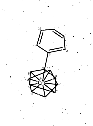 c1ccc([C]23[CH]4[CH]5[CH]6[CH]2[Cr]56432789[CH]3[CH]2[CH]7[CH]8[CH]39)cc1